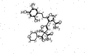 CC(C)c1cc(CCc2onc(C(N)=O)c2C2=CC(C(N)=O)(C(=O)N3CCOCC3)NO2)c(O)cc1O